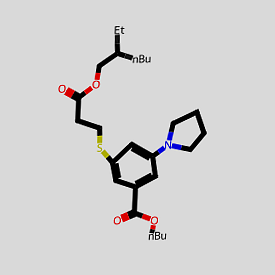 CCCCOC(=O)c1cc(SCCC(=O)OCC(CC)CCCC)cc(N2CCCC2)c1